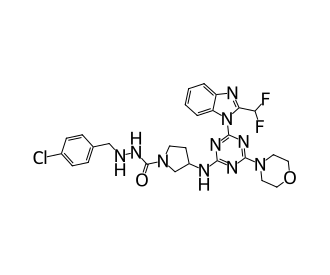 O=C(NNCc1ccc(Cl)cc1)N1CCC(Nc2nc(N3CCOCC3)nc(-n3c(C(F)F)nc4ccccc43)n2)C1